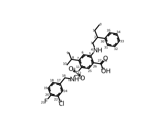 CCC(CNc1cc(C(C)C)c(S(=O)(=O)NCc2ccc(F)c(Cl)c2)cc1C(=O)O)c1ccccc1